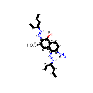 C=C/C=C(C=C)/N=N/c1c(S(=O)(=O)O)cc2c(/N=N/C(C=C)=C/C=C)c(N)ccc2c1O